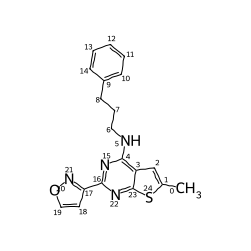 Cc1cc2c(NCCCc3ccccc3)nc(-c3ccon3)nc2s1